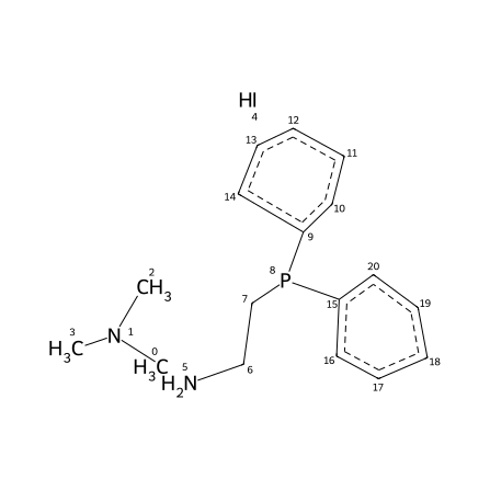 CN(C)C.I.NCCP(c1ccccc1)c1ccccc1